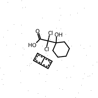 O=C(O)C(Cl)(Cl)C1(O)CCCCC1.c1cc2ccc1-2